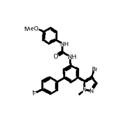 COc1ccc(NC(=O)Nc2cc(-c3ccc(F)cc3)cc(-c3c(Br)cnn3C)c2)cc1